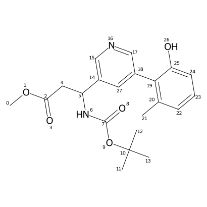 COC(=O)CC(NC(=O)OC(C)(C)C)c1cncc(-c2c(C)cccc2O)c1